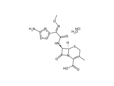 CO/N=C(/C(=O)N[C@@H]1C(=O)N2C(C(=O)O)=C(C)CS[C@H]12)c1csc(N)n1.Cl.O